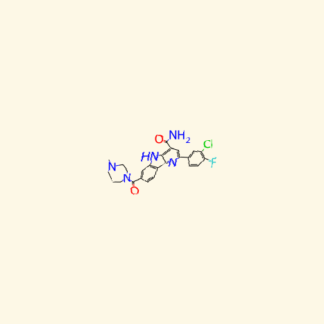 CN1CCCN(C(=O)c2ccc3c(c2)[nH]c2c(C(N)=O)cc(-c4ccc(F)c(Cl)c4)nc23)CC1